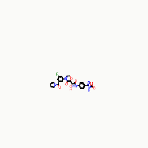 O=C(Nc1ccc(-c2noc(=O)[nH]2)cc1)[C@H](O)[C@H]1OCCN(c2cc(F)cc(C(=O)N3CCCC3)c2)C1=O